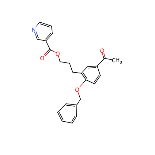 CC(=O)c1ccc(OCc2ccccc2)c(CCCOC(=O)c2cccnc2)c1